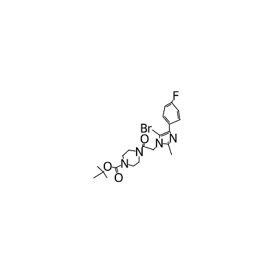 Cc1nc(-c2ccc(F)cc2)c(Br)n1CC(=O)N1CCN(C(=O)OC(C)(C)C)CC1